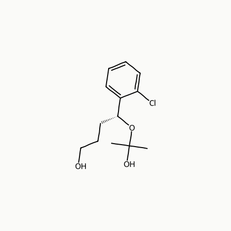 CC(C)(O)O[C@H](CCCO)c1ccccc1Cl